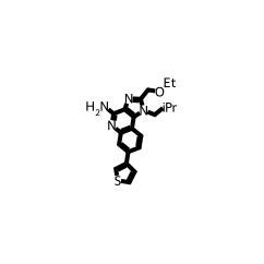 CCOCc1nc2c(N)nc3cc(-c4ccsc4)ccc3c2n1CC(C)C